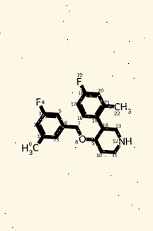 Cc1cc(F)cc(COC2CCNCC2c2ccc(F)cc2C)c1